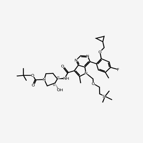 Cc1cc(-c2ncnc3c(C(=O)N[C@@H]4CCN(C(=O)OC(C)(C)C)C[C@H]4O)c(C)n(COCC[Si](C)(C)C)c23)c(OCC2CC2)cc1F